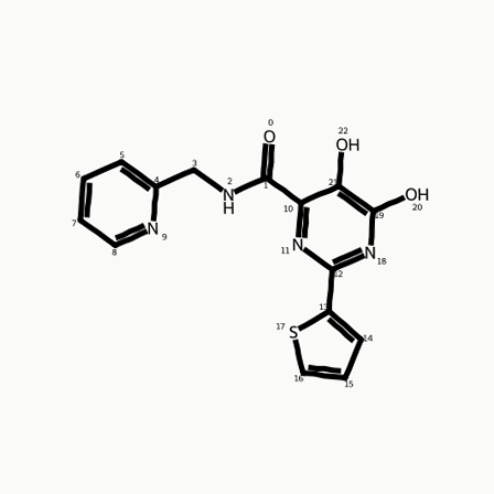 O=C(NCc1ccccn1)c1nc(-c2cccs2)nc(O)c1O